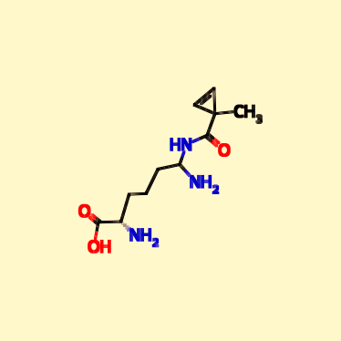 CC1(C(=O)NC(N)CCC[C@H](N)C(=O)O)C=C1